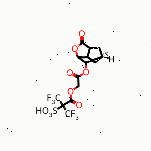 O=C(COC(=O)C(C(F)(F)F)(C(F)(F)F)S(=O)(=O)O)OC1C2OC(=O)C3C[C@@H]1CC32